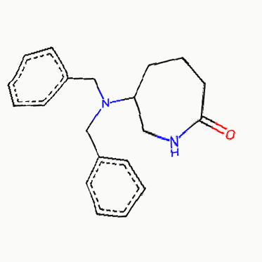 O=C1CCCC(N(Cc2ccccc2)Cc2ccccc2)CN1